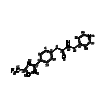 O=C(Cc1ccc(-c2noc(C(F)(F)F)n2)cc1)NCc1ccncc1